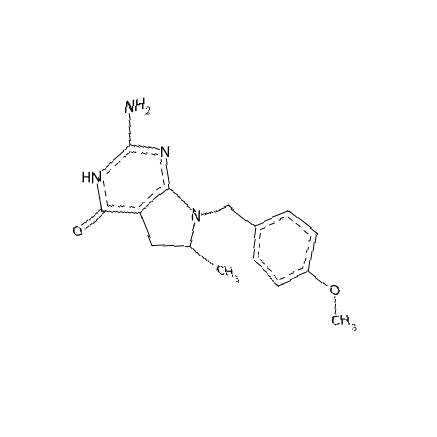 COc1ccc(CN2c3nc(N)[nH]c(=O)c3CC2C)cc1